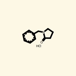 Cl.O=C1CCCN1Cc1ccccc1